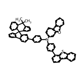 CC1(C)c2ccccc2C2(c3ccccc3-c3ccc(-c4ccc(N(c5ccc(-c6cccc7c6sc6ccccc67)cc5)c5ccc6c(c5)oc5ccccc56)cc4)cc32)c2ccccc21